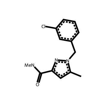 CNC(=O)c1cc(C)n(Cc2cccc(Cl)c2)n1